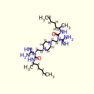 CCCCCC(C)NC(=O)N(CCN1CCN(CCN(C(=N)N)C(=O)NC(C)CCCCC)CC1)C(=N)N